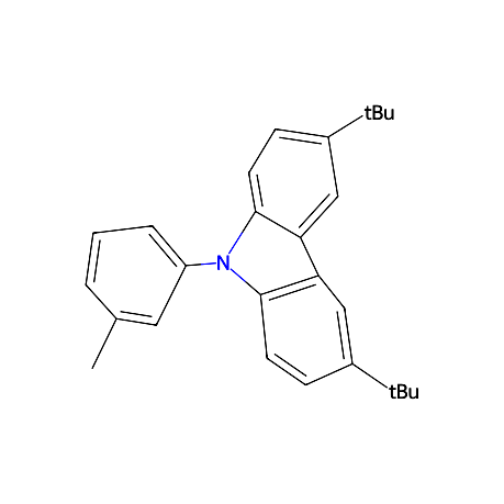 Cc1cccc(-n2c3ccc(C(C)(C)C)cc3c3cc(C(C)(C)C)ccc32)c1